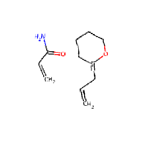 C=CC(N)=O.C=CC[SiH]1CCCCO1